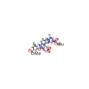 COC(=O)c1ccc(CN(C(=O)N2CCS(=O)(=O)CC2)c2ccc(CN3[C@H](C)CN(C(=O)OC(C)(C)C)C[C@@H]3C)cc2)c(F)c1